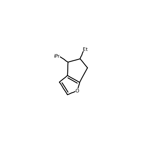 CCC1Cc2occc2C1C(C)C